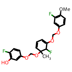 COc1ccc(OCOC2=CC=CC(C)(OCOc3ccc(F)c(O)c3)C2F)cc1F